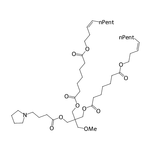 CCCCC/C=C\CCOC(=O)CCCCCC(=O)OCC(COC)(COC(=O)CCCCCC(=O)OCC/C=C\CCCCC)COC(=O)CCCN1CCCC1